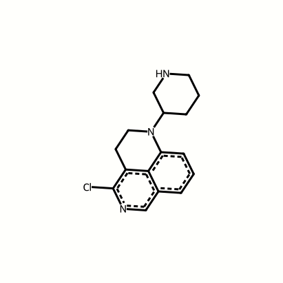 Clc1ncc2cccc3c2c1CCN3C1CCCNC1